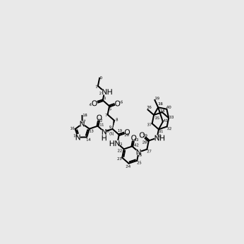 CCNC(=O)C(=O)CC[C@H](NC(=O)c1cncn1C)C(=O)Nc1cccn(CC(=O)NC23CC4CC(C)(C2)C(C)(C4)C3)c1=O